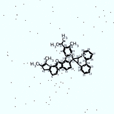 CC1=C(C)c2c(ccc3c2oc2c4c(ccc23)C2(C3c5ccccc5-c5cccc[n+]5C32)[n+]2cc(C)c(C(C)C)cc2-4)C1